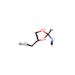 C=NC1(C)OCC(COC)O1